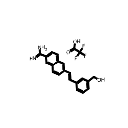 N=C(N)c1ccc2cc(/C=C/c3cccc(CO)c3)ccc2c1.O=C(O)C(F)(F)F